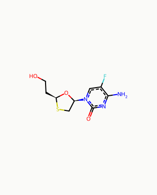 Nc1nc(=O)n([C@H]2CS[C@@H](CCO)O2)cc1F